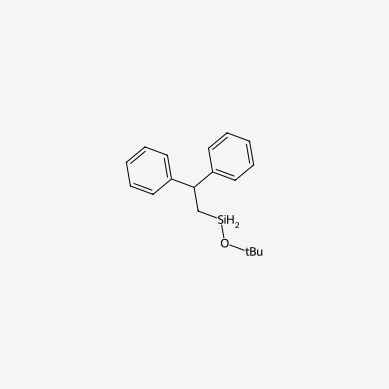 CC(C)(C)O[SiH2]CC(c1ccccc1)c1ccccc1